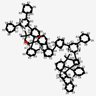 CC1(C)c2ccccc2C2(c3ccccc3-n3c4ccccc4c4cccc2c43)c2cccc(-c3nc(-c4ccccc4)cc(-c4cccc(-c5cccc6c5c5cccc7c5n6-c5ccccc5C75c6ccccc6C(C)(C)c6c(-c7cc(-c8ccccc8)nc(-c8ccccc8)n7)cccc65)c4)n3)c21